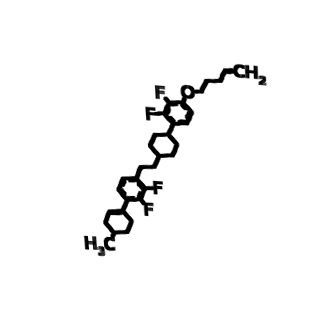 C=CCCCOc1ccc(C2CCC(CCc3ccc(C4=CCC(C)CC4)c(F)c3F)CC2)c(F)c1F